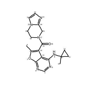 Cc1oc2ncnc(NC3(C)CC3)c2c1C(=O)N1CCn2ccnc2C1